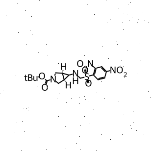 CC(C)(C)OC(=O)N1C[C@@H]2C(NCS(=O)(=O)c3ccc([N+](=O)[O-])cc3[N+](=O)[O-])[C@@H]2C1